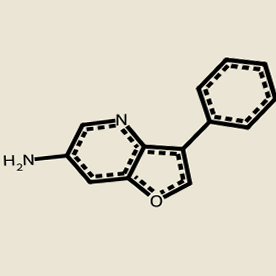 Nc1cnc2c(-c3ccccc3)coc2c1